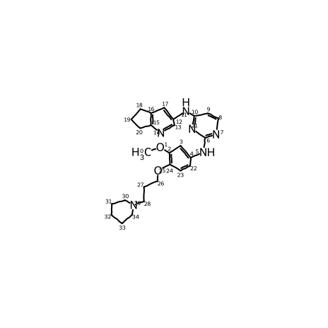 COc1cc(Nc2nccc(Nc3cnc4c(c3)CCC4)n2)ccc1OCCCN1CCCCC1